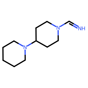 N=CN1CCC(N2CCCCC2)CC1